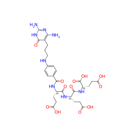 Nc1nc(N)c(CCCNc2ccc(C(=O)N[C@@H](CCC(=O)O)C(=O)N[C@@H](CCC(=O)O)C(=O)N[C@@H](CCC(=O)O)C(=O)O)cc2)c(=O)[nH]1